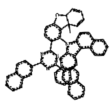 CC12C=CC=CC1Oc1ccc(-c3nc(-c4ccc5ccccc5c4)nc(-c4ccc5ccccc5c4)n3)c(-n3c4cc5ccccc5cc4c4c5ccccc5ccc43)c12